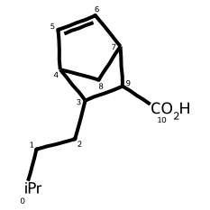 CC(C)CCC1C2C=CC(C2)C1C(=O)O